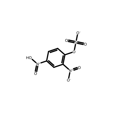 O=[N+]([O-])c1cc([N+](=O)O)ccc1OS(=O)(=O)[O-]